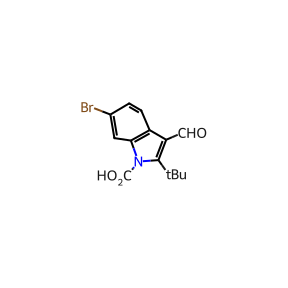 CC(C)(C)c1c(C=O)c2ccc(Br)cc2n1C(=O)O